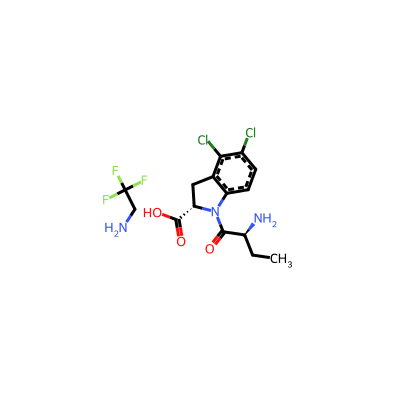 CC[C@H](N)C(=O)N1c2ccc(Cl)c(Cl)c2C[C@H]1C(=O)O.NCC(F)(F)F